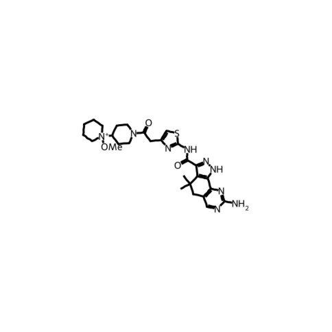 CO[N+]1(C2CCN(C(=O)Cc3csc(NC(=O)c4n[nH]c5c4C(C)(C)Cc4cnc(N)nc4-5)n3)CC2)CCCCC1